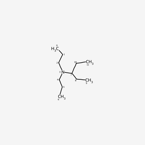 CCCN(CCC)C(CC)CC